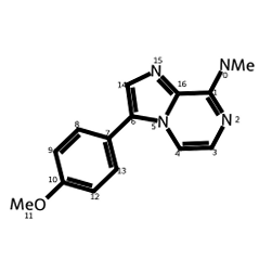 CNc1nccn2c(-c3ccc(OC)cc3)cnc12